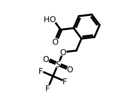 O=C(O)c1ccccc1COS(=O)(=O)C(F)(F)F